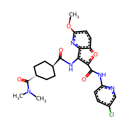 COc1ccc2oc(C(=O)Nc3ccc(Cl)cn3)c(NC(=O)[C@H]3CC[C@H](C(=O)N(C)C)CC3)c2n1